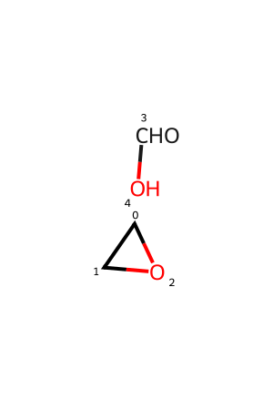 C1CO1.O=CO